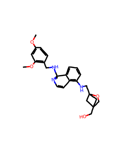 COc1ccc(CNc2nccc3c(NCC45CC(CO)(CO4)C5)cccc23)c(OC)c1